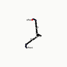 CCCCC/C=C\C/C=C\CCCCCCCC(=O)OCCOCCOC1=CC(CN(C)C)CC(OCCOCCOC(=O)CCCCCCC/C=C\C/C=C\CCCCC)=C1